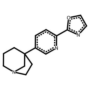 c1coc(-c2ccc(C34CCCN(CC3)C4)cn2)n1